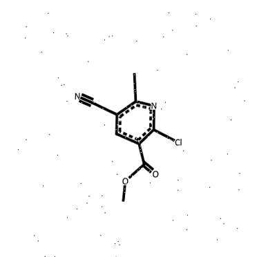 COC(=O)c1cc(C#N)c(C)nc1Cl